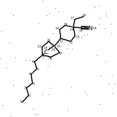 CCCCCCCC12CCC(C3CCC(C#N)(CC)CC3)(CC1)CC2